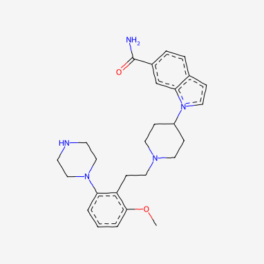 COc1cccc(N2CCNCC2)c1CCN1CCC(n2ccc3ccc(C(N)=O)cc32)CC1